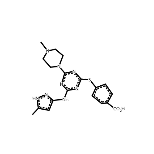 Cc1cc(Nc2nc(Sc3ccc(C(=O)O)cc3)nc(N3CCN(C)CC3)n2)n[nH]1